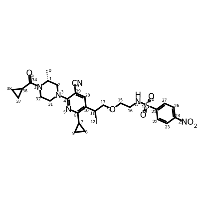 C[C@@H]1CN(c2nc(C3CC3)c(C(I)COCCNS(=O)(=O)c3ccc([N+](=O)[O-])cc3)cc2C#N)CCN1C(=O)C1CC1